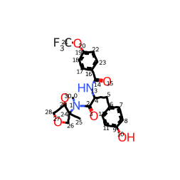 CN(C(=O)C(Cc1ccc(O)cc1)NC(=O)c1ccc(OC(F)(F)F)cc1)C1(C)COCC1=O